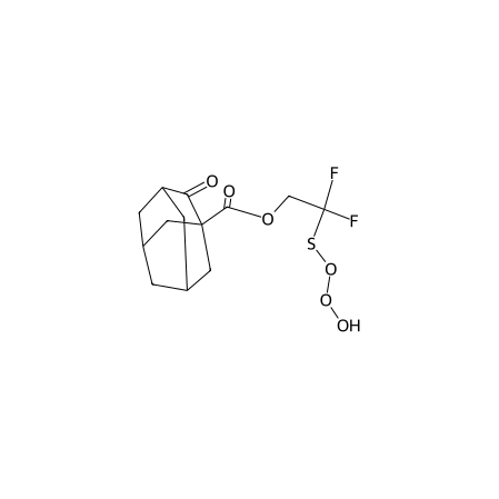 O=C(OCC(F)(F)SOOO)C12CC3CC(CC(C3)C1=O)C2